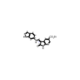 CCOC(=O)c1cnc2c(c1)/C(=C/Nc1ccc3cn[nH]c3c1)C(=O)N2